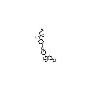 O=C(CC1CC1)N[C@H]1CC[C@H](CCN2CCC(c3noc4cc(Cl)ccc34)CC2)CC1